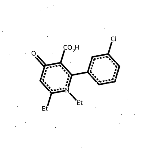 CCc1cc(=O)c(C(=O)O)c(-c2cccc(Cl)c2)n1CC